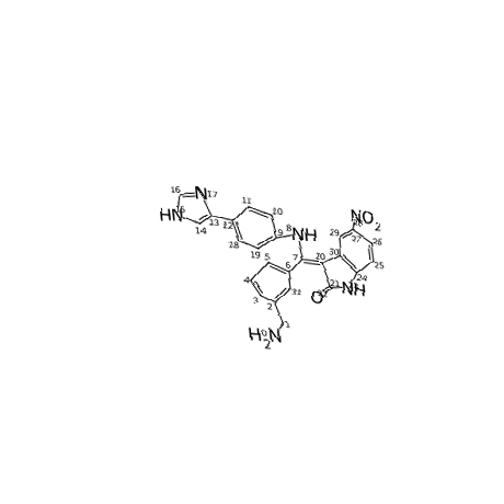 NCc1cccc(C(Nc2ccc(-c3c[nH]cn3)cc2)=C2C(=O)Nc3ccc([N+](=O)[O-])cc32)c1